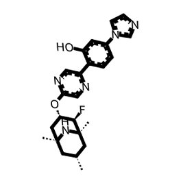 C[C@@H]1C[C@@]2(C)C[C@H](Oc3cnc(-c4ccc(-n5ccnc5)cc4O)cn3)[C@@H](F)[C@@](C)(C1)N2